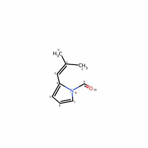 CC(C)=Cc1cccn1C=O